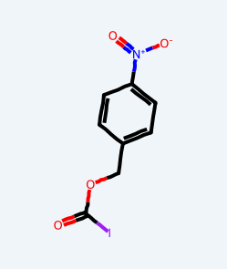 O=C(I)OCc1ccc([N+](=O)[O-])cc1